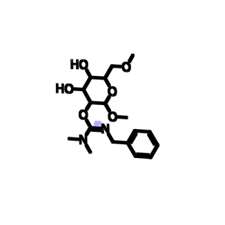 COCC1OC(OC)C(O/C(=N/Cc2ccccc2)N(C)C)C(O)C1O